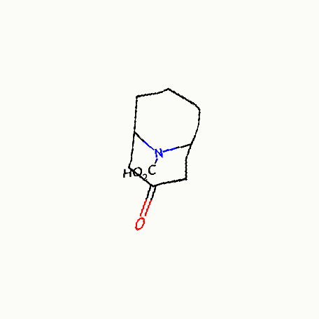 O=C1CC2CCCC(C1)N2C(=O)O